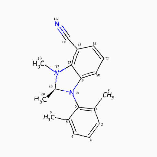 Cc1cccc(C)c1N1c2cccc(C#N)c2N(C)[C@@H]1C